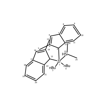 CCC[CH2][Zr]([CH2]CCC)([CH]1C(C)=Cc2ccccc21)([CH]1C(C)=Cc2ccccc21)[SiH](C)C